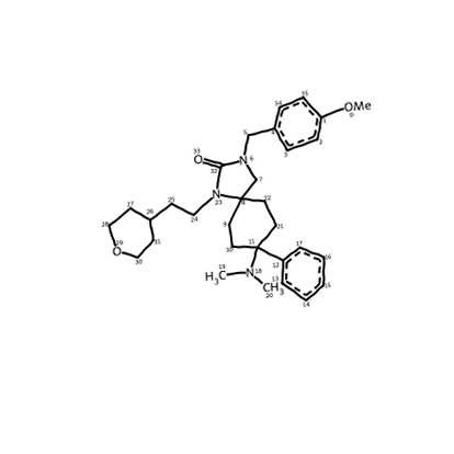 COc1ccc(CN2CC3(CCC(c4ccccc4)(N(C)C)CC3)N(CCC3CCOCC3)C2=O)cc1